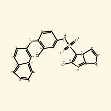 O=S(=O)(Nc1ccc(Sc2ccc3ccccc3c2)c(Cl)c1)c1c(Cl)nc2sccn12